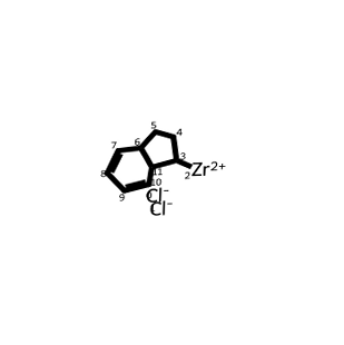 [Cl-].[Cl-].[Zr+2][CH]1CCC2C=CC=CC12